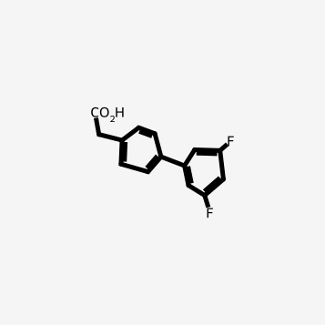 O=C(O)Cc1ccc(-c2cc(F)cc(F)c2)cc1